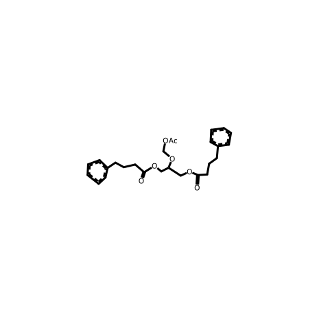 CC(=O)OCOC(COC(=O)CCCc1ccccc1)COC(=O)CCCc1ccccc1